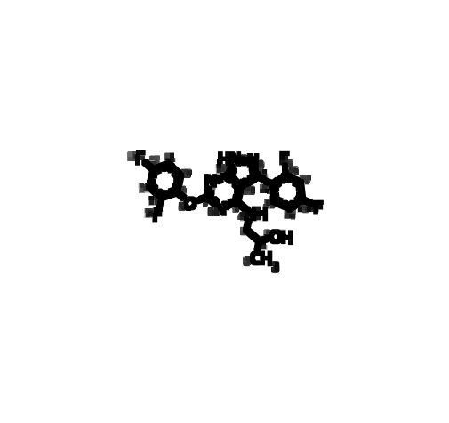 CC(O)CNc1nc(Oc2ccc(F)cc2F)nc2[nH]nc(-c3ccc(F)cc3F)c12